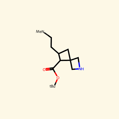 CNCCC1CC2(CNC2)C1C(=O)OC(C)(C)C